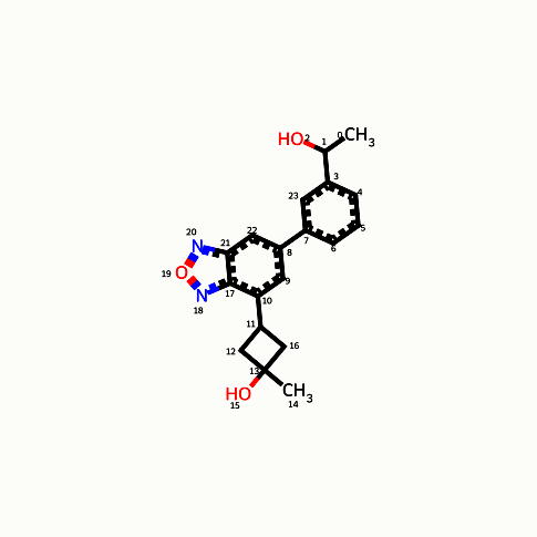 CC(O)c1cccc(-c2cc(C3CC(C)(O)C3)c3nonc3c2)c1